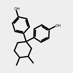 CC1CCC(c2ccc(O)cc2)(c2ccc(O)cc2)CC1C